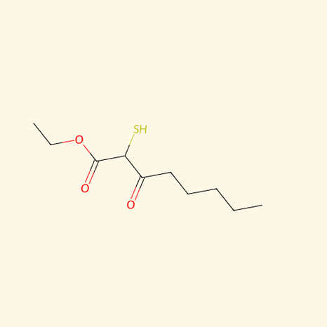 CCCCCC(=O)C(S)C(=O)OCC